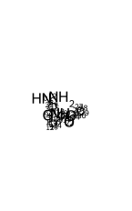 N=C(N)c1ccc(NC(=O)c2ccccc2-c2cccc(C(=O)OCc3ccccc3)c2)cc1